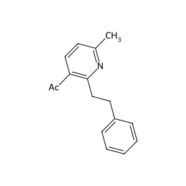 CC(=O)c1ccc(C)nc1CCc1ccccc1